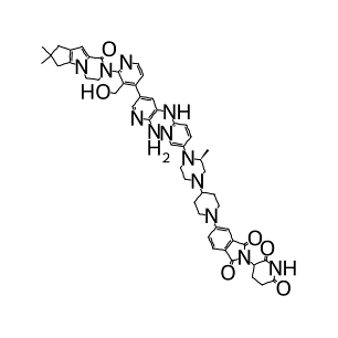 C[C@H]1CN(C2CCN(c3ccc4c(c3)C(=O)N(C3CCC(=O)NC3=O)C4=O)CC2)CCN1c1ccc(Nc2cc(-c3ccnc(N4CCn5c(cc6c5CC(C)(C)C6)C4=O)c3CO)cnc2N)nc1